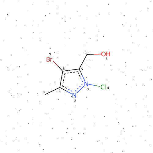 Cc1nn(Cl)c(CO)c1Br